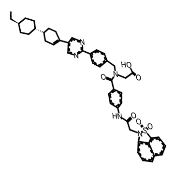 CC[C@H]1CC[C@H](C2CC=C(c3cnc(-c4ccc(CN(CC(=O)O)C(=O)c5ccc(NC(=O)CN6c7cccc8cccc(c78)S6(=O)=O)cc5)cc4)nc3)CC2)CC1